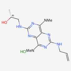 C=CCNc1nc(NC)c2nc(NC[C@@H](C)O)nc(NC)c2n1.Cl